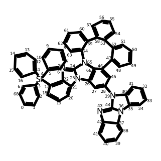 c1ccc([Si](c2ccccc2)(c2ccccc2)c2cccc3c2nc2n3c3cc(-n4c5ccccc5n5c6ccccc6nc45)cc4c5ccccc5c5ccccc5c5ccccc5n2c43)cc1